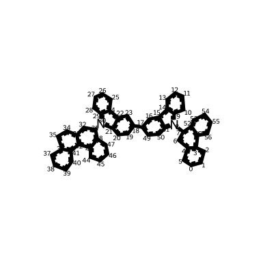 c1ccc2c(c1)cc(-n1c3ccccc3c3cc(-c4ccc5c(c4)c4ccccc4n5-c4cc5ccc6ccccc6c5c5ccccc45)ccc31)c1ccccc12